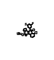 CC(C)(C)OC(=O)N1CCCC1c1nc2cccc(Cl)c2c(=O)n1-c1cc(F)cc(F)c1